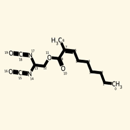 CCCCCCC=C(C)C(=O)OCC(N=C=O)N=C=O